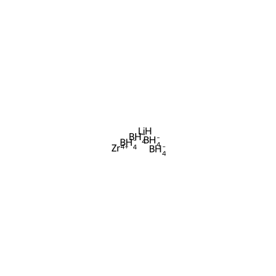 [BH4-].[BH4-].[BH4-].[BH4-].[LiH].[Zr+4]